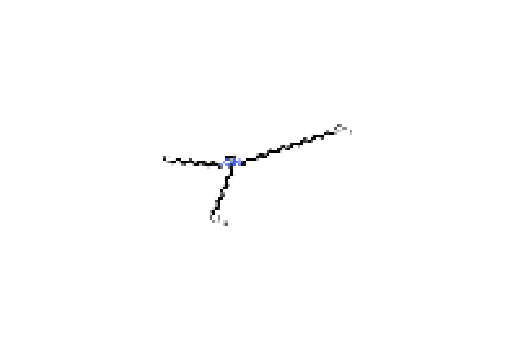 CCCCCCCCCCCCCCCCCCn1cc[n+](CCCCCCCCCC)c1CCCCCCCCC